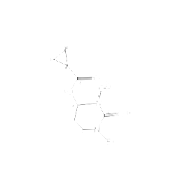 CCN1CCC(OC(=O)C2CC2)N(O)C1=O